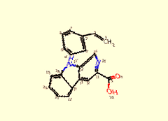 C=Cc1ccccc1.O=C(O)c1cc2c(cn1)[nH]c1ccccc12